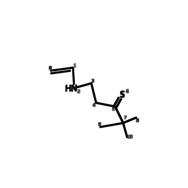 C=CNCCC(=S)C(C)(C)C